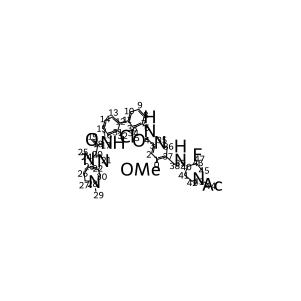 COc1cc(C(=O)Nc2cccc(-c3cccc(NC(=O)c4nc5c(n4C)CCN(C)C5)c3Cl)c2C)ncc1CN[C@H]1CCN(C(C)=O)C[C@H]1F